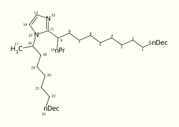 CCCCCCCCCCCCCCCCCCC(CCC)c1nccn1C(C)CCCCCCCCCCCCCCC